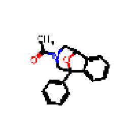 CC(=O)N1CC2OC(c3ccccc3)(C1)c1ccccc12